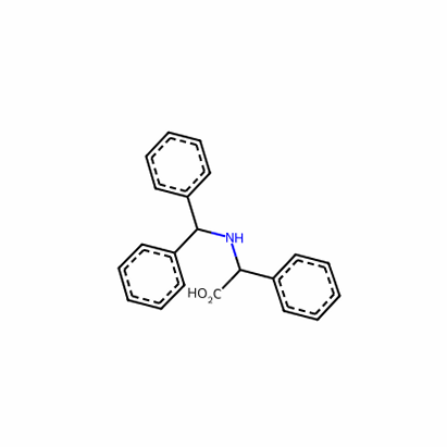 O=C(O)C(NC(c1ccccc1)c1ccccc1)c1ccccc1